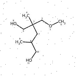 COCC(C)(CO)CC(C)CO